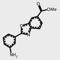 COC(=O)c1ccc2nc(-c3cccc(N)c3)oc2c1